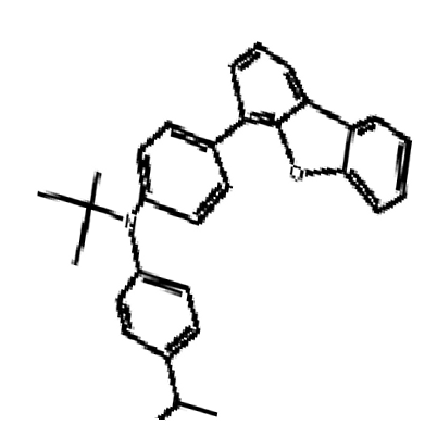 CC(C)c1ccc(N(c2ccc(-c3cccc4c3oc3ccccc34)cc2)C(C)(C)C)cc1